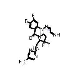 N=C/C=N\Nc1cc(F)c(F)cc1C(=O)N1CCC(F)(F)C1CNc1ncc(C(F)(F)F)cn1